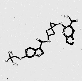 CC(C)(O)COc1ccc2c(C(=O)NC3CC4(C3)C[C@H]4Oc3nc4ccsc4cc3C(N)=O)cnn2c1